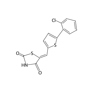 O=C1NC(=O)C(=Cc2ccc(-c3ccccc3Cl)s2)S1